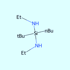 CCCC[Si](NCC)(NCC)C(C)(C)C